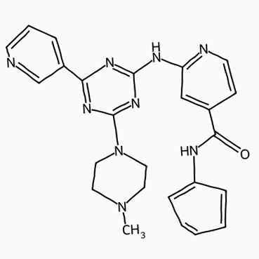 CN1CCN(c2nc(Nc3cc(C(=O)Nc4ccccc4)ccn3)nc(-c3cccnc3)n2)CC1